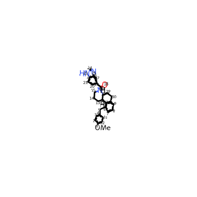 COc1ccc(Cc2cccc3c2[C@H]2CCCN(C(=O)c4ccc5[nH]cnc5c4)[C@H]2CC3)cc1